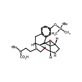 CC(C)(C)N(CCN1CC[C@@]23c4cc(O[Si](C)(C)C(C)(C)C)ccc4C[C@@H]1[C@]21CC[C@H]2NC[C@@H](C1)[C@H]23)C(=O)O